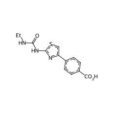 CCNC(=O)Nc1nc(-c2ccc(C(=O)O)cc2)cs1